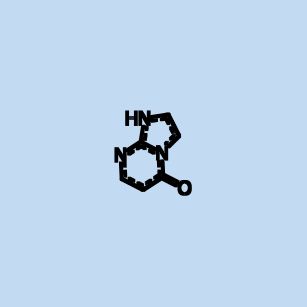 O=c1ccnc2[nH]ccn12